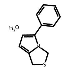 O.c1ccc(-c2ccc3n2CSC3)cc1